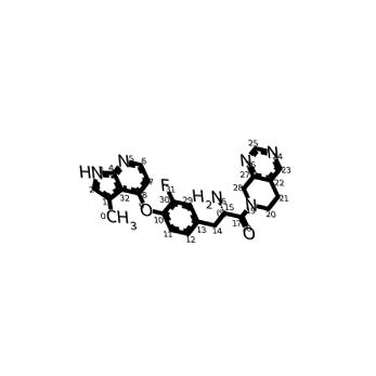 Cc1c[nH]c2nccc(Oc3ccc(C[C@H](N)C(=O)N4CCc5cncnc5C4)cc3F)c12